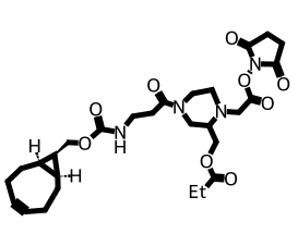 CCC(=O)OCC1CN(C(=O)CCNC(=O)OC[C@@H]2[C@@H]3CCC#CCC[C@@H]32)CCN1CC(=O)ON1C(=O)CCC1=O